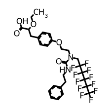 CCOC(Cc1ccc(OCCN(CC(F)(F)C(F)(F)C(F)(F)C(F)(F)C(F)(F)F)C(=O)NCCc2ccccc2)cc1)C(=O)O